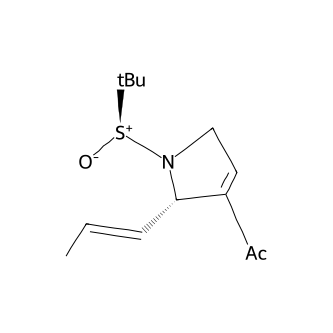 C/C=C/[C@H]1C(C(C)=O)=CCN1[S@@+]([O-])C(C)(C)C